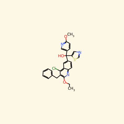 CCOc1nc2ccc(C(O)(c3ccc(OC)nc3)c3cncs3)cc2c(Cl)c1Cc1ccccc1